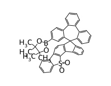 CC1(C)OB(c2ccc3c(c2)C2(c4ccccc4-c4ccccc4-3)c3ccccc3-c3c2ccc2c3S(=O)(=O)c3ccccc3-2)OC1(C)C